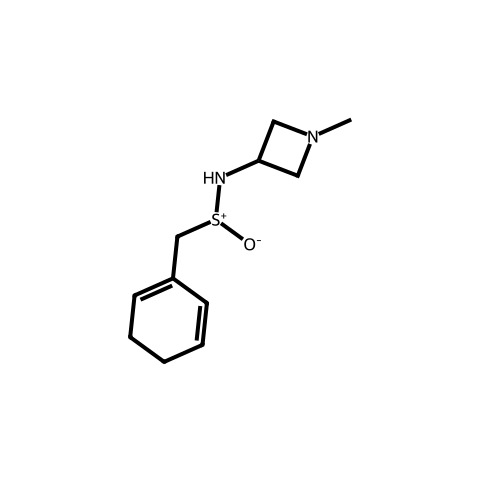 CN1CC(N[S+]([O-])CC2=CCCC=C2)C1